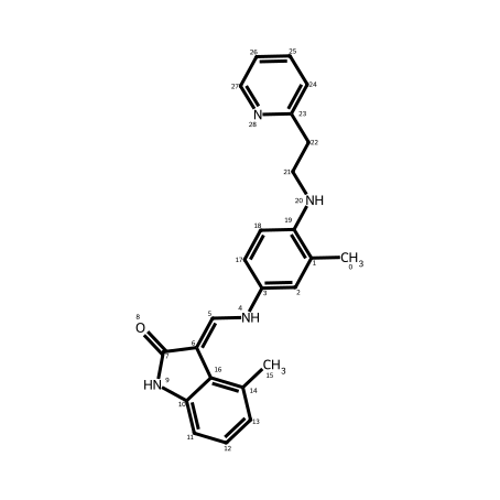 Cc1cc(N/C=C2/C(=O)Nc3cccc(C)c32)ccc1NCCc1ccccn1